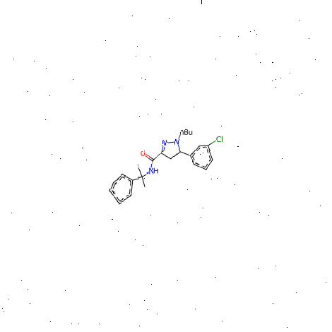 CCCCN1N=C(C(=O)NC(C)(C)c2ccccc2)CC1c1cccc(Cl)c1